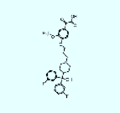 COc1cc(C(=O)C(=O)O)ccc1OCCCN1CCC(C(O)(c2cccc(F)c2)c2cccc(F)c2)CC1